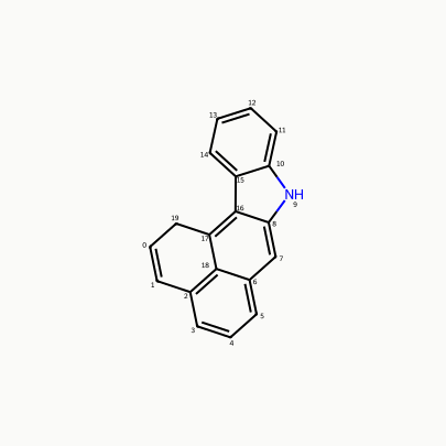 C1=Cc2cccc3cc4[nH]c5ccccc5c4c(c23)C1